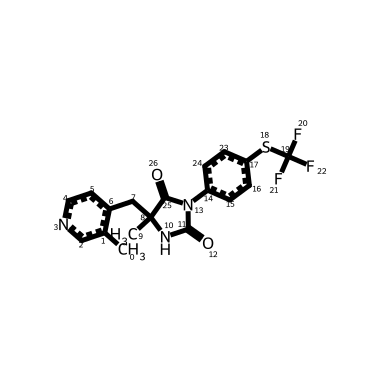 Cc1cnccc1CC1(C)NC(=O)N(c2ccc(SC(F)(F)F)cc2)C1=O